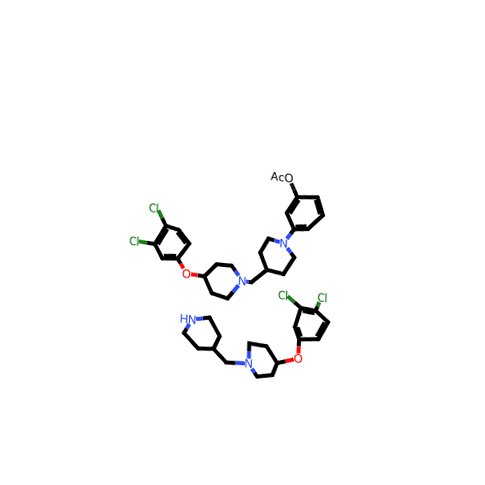 CC(=O)Oc1cccc(N2CCC(CN3CCC(Oc4ccc(Cl)c(Cl)c4)CC3)CC2)c1.Clc1ccc(OC2CCN(CC3CCNCC3)CC2)cc1Cl